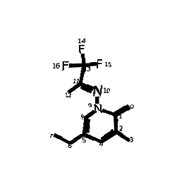 C=C1C(C)=CC(CC)=CN1/N=C(\C)C(F)(F)F